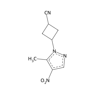 Cc1c([N+](=O)[O-])cnn1C1CC(C#N)C1